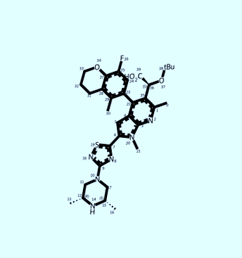 Cc1nc2c(cc(-c3nc(N4C[C@@H](C)N[C@@H](C)C4)ns3)n2C)c(-c2cc(F)c3c(c2C)CCCO3)c1[C@H](OC(C)(C)C)C(=O)O